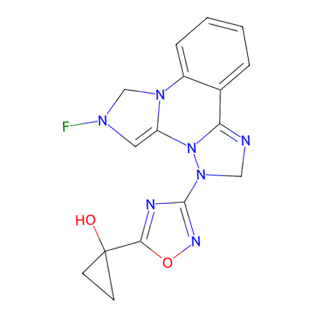 OC1(c2nc(N3CN=C4c5ccccc5N5CN(F)C=C5N43)no2)CC1